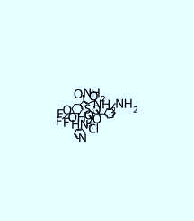 NC(=O)c1sc2c(c1C(N)=O)CCCC2.NCc1cccc(C(=O)OC(=O)[C@H](Cl)Nc2cccnc2)c1.O=C(O)C(F)(F)F